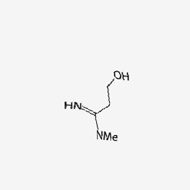 CNC(=N)CCO